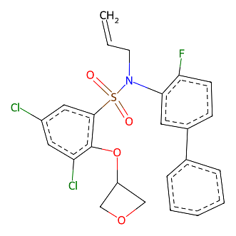 C=CCN(c1cc(-c2ccccc2)ccc1F)S(=O)(=O)c1cc(Cl)cc(Cl)c1OC1COC1